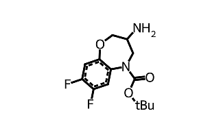 CC(C)(C)OC(=O)N1CC(N)COc2cc(F)c(F)cc21